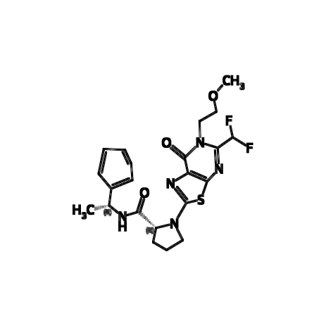 COCCn1c(C(F)F)nc2sc(N3CCC[C@@H]3C(=O)N[C@H](C)c3ccccc3)nc2c1=O